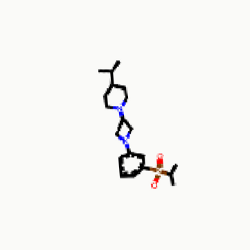 CC(C)C1CCN(C2CN(c3cccc(S(=O)(=O)C(C)C)c3)C2)CC1